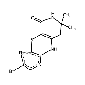 CC1(C)CC2=C(Sc3nc(Br)cnc3N2)C(=O)N1